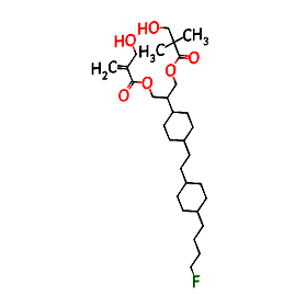 C=C(CO)C(=O)OCC(COC(=O)C(C)(C)CO)C1CCC(CCC2CCC(CCCCF)CC2)CC1